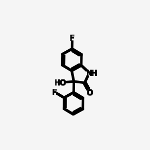 O=C1Nc2cc(F)ccc2C1(O)c1ccccc1F